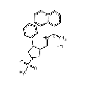 C[C@@H](NCC1CN(S(C)(=O)=O)CC1c1ccccc1)c1cccc2ccccc12.Cl